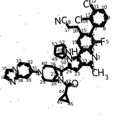 Cc1nc2c(F)c(-c3cccc(Cl)c3Cl)c(CCC#N)cc2c2c1cc(C1C3CC(CN(c4ccn5ccnc5c4)C3)N1C(=O)C1CC1)n2C1C2CNC1C2